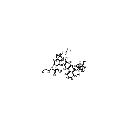 CCCCc1nc2ccc(C(=O)N(C)CCCC)cc2n1Cc1ccc(-c2ccccc2C(=O)NS(=O)(=O)C(F)(F)F)cc1